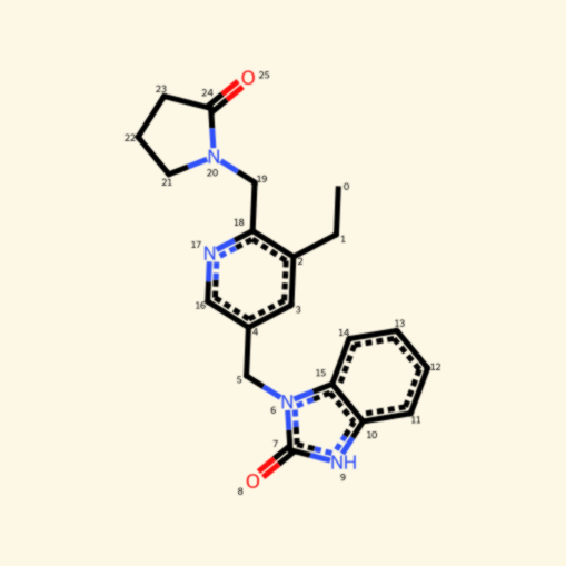 CCc1cc(Cn2c(=O)[nH]c3ccccc32)cnc1CN1CCCC1=O